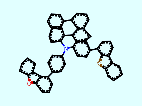 c1ccc(-c2cccc3cccc(-c4ccccc4N(c4ccc(-c5cccc6c5sc5ccccc56)cc4)c4ccc(-c5cccc6oc7ccccc7c56)cc4)c23)cc1